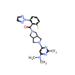 CN(C)c1cc(N2CC3CN(C(=O)c4c(F)cccc4-n4nccn4)CC3C2)nc(C(F)(F)F)n1